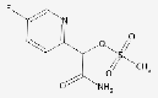 CS(=O)(=O)OC(C(N)=O)c1ccc(F)cn1